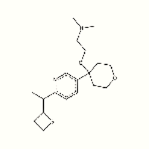 CC(c1ccc(C2(OCCN(C)C)CCOCC2)cn1)C1CCS1